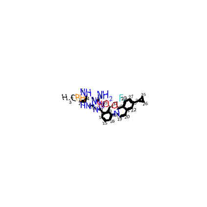 CP/C=C(\C=N)Nc1nc(N)nc(-c2cccc(-n3ccc4cc(C5CC5)cc(F)c4c3=O)c2CO)n1